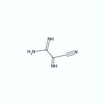 N#CC(=N)C(=N)N